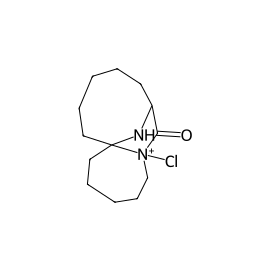 O=C1C2CCCCCC3(CCCCC[N+]13Cl)N2